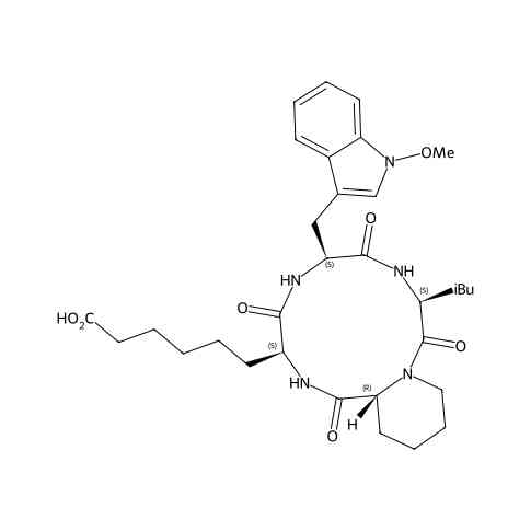 CCC(C)[C@@H]1NC(=O)[C@H](Cc2cn(OC)c3ccccc23)NC(=O)[C@H](CCCCCC(=O)O)NC(=O)[C@H]2CCCCN2C1=O